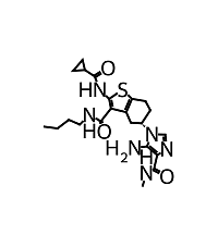 CCCCNC(=O)c1c(NC(=O)C2CC2)sc2c1C[C@@H](n1cnc(C(=O)NC)c1N)CC2